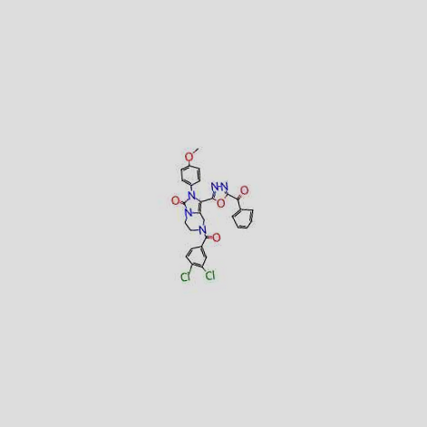 COc1ccc(-n2c(-c3nnc(C(=O)c4ccccc4)o3)c3n(c2=O)CCN(C(=O)c2ccc(Cl)c(Cl)c2)C3)cc1